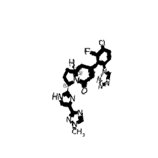 Cn1cnc(-c2c[nH]c([C@@H]3CC[C@H]4CC(c5c(-n6cnnn6)ccc(Cl)c5F)=CC(=O)N43)n2)n1